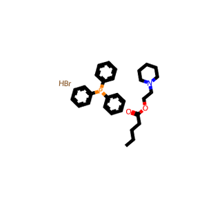 Br.CCCCC(=O)OCCN1CCCCC1.c1ccc(P(c2ccccc2)c2ccccc2)cc1